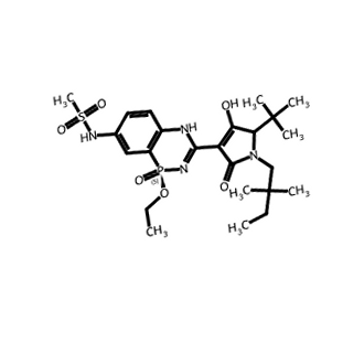 CCO[P@]1(=O)N=C(C2=C(O)C(C(C)(C)C)N(CC(C)(C)CC)C2=O)Nc2ccc(NS(C)(=O)=O)cc21